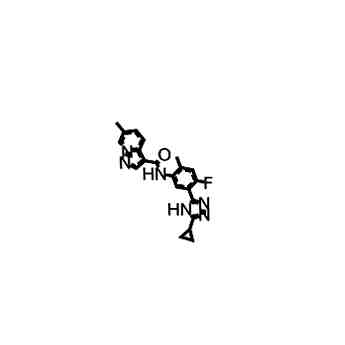 Cc1ccc2c(C(=O)Nc3cc(-c4nnc(C5CC5)[nH]4)c(F)cc3C)cnn2c1